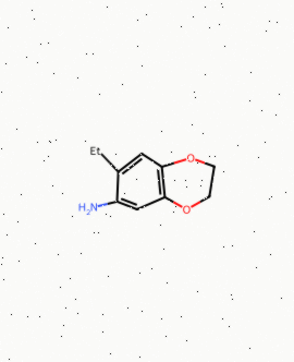 CCc1cc2c(cc1N)OCCO2